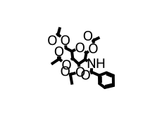 CC(=O)OCC1OC(OC(C)=O)C(NC(=O)c2ccccc2)C(OC(C)=O)C1OC(C)=O